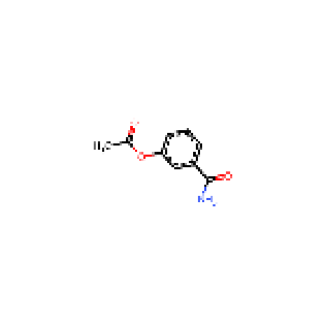 CC(=O)Oc1cccc(C(N)=O)c1